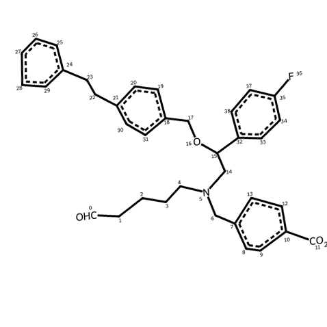 O=CCCCCN(Cc1ccc(C(=O)O)cc1)CC(OCc1ccc(CCc2ccccc2)cc1)c1ccc(F)cc1